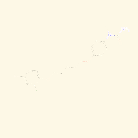 NC(=O)N(S)c1ccc(OCCCCCOc2ccc(F)cc2F)cc1